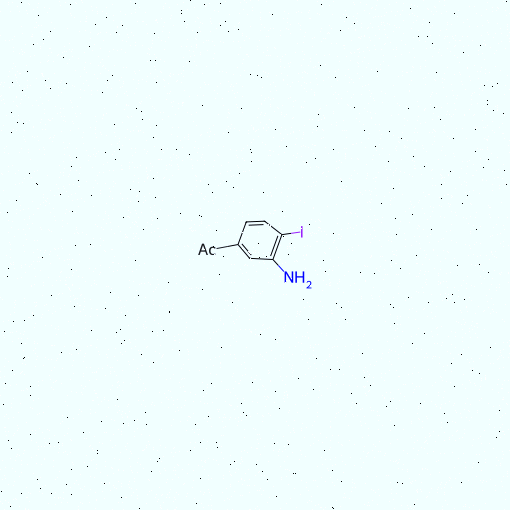 CC(=O)c1ccc(I)c(N)c1